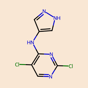 Clc1ncc(Cl)c(Nc2cn[nH]c2)n1